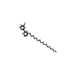 CCCCCCCCCCCCCCCCCc1ccnc(-c2cc(C)ccn2)c1